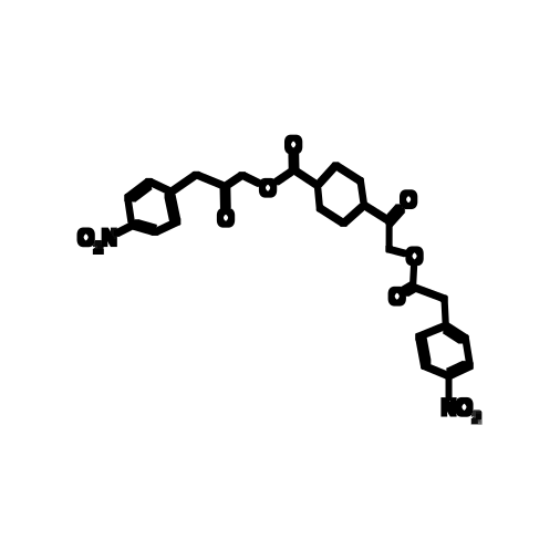 O=C(COC(=O)C1CCC(C(=O)COC(=O)Cc2ccc([N+](=O)[O-])cc2)CC1)Cc1ccc([N+](=O)[O-])cc1